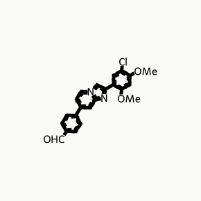 COc1cc(OC)c(-c2cn3ccc(-c4ccc(C=O)cc4)cc3n2)cc1Cl